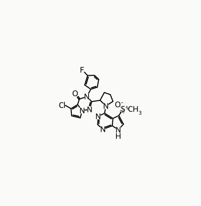 C[S@@+]([O-])c1c[nH]c2ncnc(N3CCCC3c3nn4ccc(Cl)c4c(=O)n3-c3cccc(F)c3)c12